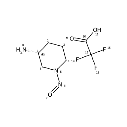 N[C@@H]1CCCN(N=O)C1.O=C(O)C(F)(F)F